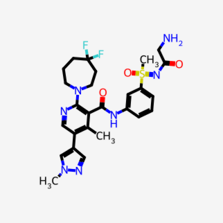 Cc1c(-c2cnn(C)c2)cnc(N2CCCC(F)(F)CC2)c1C(=O)Nc1cccc(S(C)(=O)=NC(=O)CN)c1